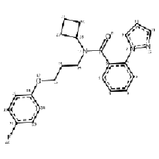 O=C(c1ccccc1-n1cccn1)N(CCCOc1ccc(F)cc1)C1CCC1